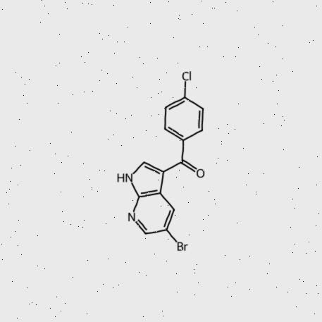 O=C(c1ccc(Cl)cc1)c1c[nH]c2ncc(Br)cc12